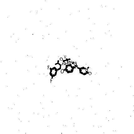 CC(C)[C@H](NC(=O)C(C)(F)F)[C@H](Oc1ccc2c(c1)nnn2-c1ccc(=O)n(C)c1)c1cc(F)cc(F)c1